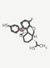 CC(S)C[C@@H]1CCC[C@@]2(S(=O)(=O)c3ccc(S)cc3)c3c(F)ccc(F)c3OC[C@@H]12